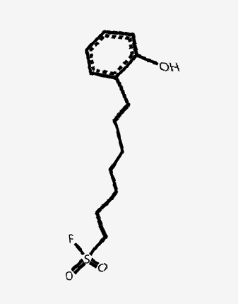 O=S(=O)(F)CCCCCCCc1ccccc1O